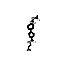 CC(=O)Nc1nc2ccc(-c3ccc(C(=O)NCCC(C)C)cc3)cc2[nH]1